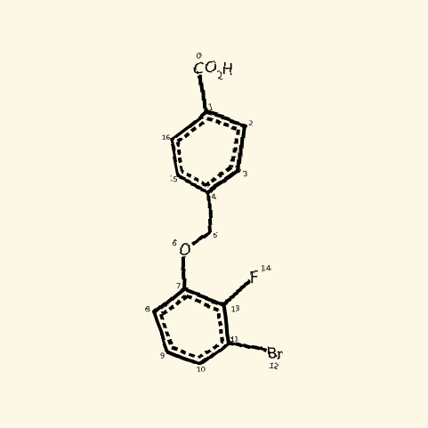 O=C(O)c1ccc(COc2cccc(Br)c2F)cc1